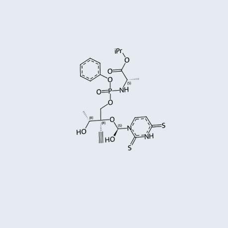 C#C[C@](COP(=O)(N[C@@H](C)C(=O)OC(C)C)Oc1ccccc1)(O[C@H](O)n1ccc(=S)[nH]c1=S)[C@@H](C)O